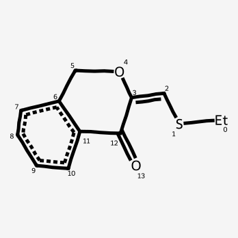 CCSC=C1OCc2ccccc2C1=O